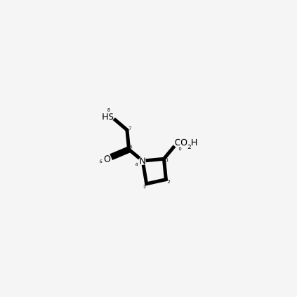 O=C(O)C1CCN1C(=O)CS